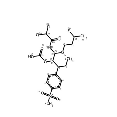 CCC(c1ccc(S(C)(=O)=O)cc1)[C@@H](OC(=O)O)[C@@H](NC(=O)C(Cl)Cl)OCCC(C)F